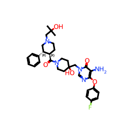 CC(C)(O)CN1CC[C@@H](C(=O)N2CCC(O)(Cn3cnc(Oc4ccc(F)cc4)c(N)c3=O)CC2)[C@H](c2ccccc2)C1